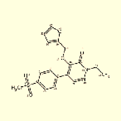 CS(=O)(=O)c1ccc(-c2cnn(CC(F)(F)F)c(=O)c2OCc2ccco2)cc1